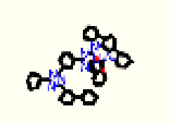 c1ccc(-c2cccc(-c3nc(-c4ccccc4)nc(-c4cccc(-c5nc(-c6ccccc6)nc(-n6c7ccccc7c7ccc8c9ccccc9n(-c9ccccc9)c8c76)n5)c4)n3)c2)cc1